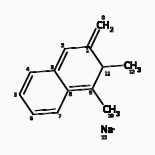 C=C1C=c2ccccc2=C(C)C1C.[Na]